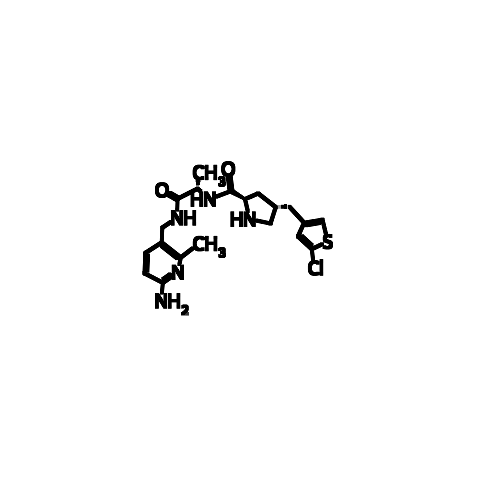 Cc1nc(N)ccc1CNC(=O)[C@H](C)NC(=O)[C@H]1C[C@H](Cc2csc(Cl)c2)CN1